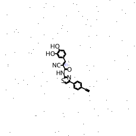 C#Cc1ccc(-c2csc(NC(=O)/C(C#N)=C/c3ccc(O)c(O)c3)n2)cc1